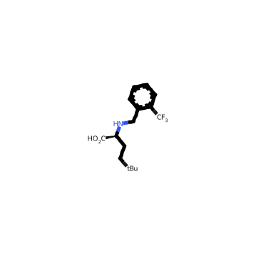 CC(C)(C)CC[C@H](NCc1ccccc1C(F)(F)F)C(=O)O